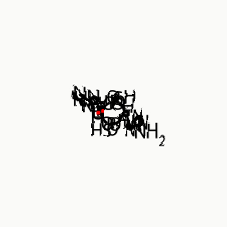 Nc1ncnc2c1ncn2[C@@H]1C[C@@H]2COP(=O)(S)O[C@@H]3[C@H](F)[C@@H](COP(=O)(S)OC[C@H]21)O[C@H]3n1cnc2c1ncn1ccnc21